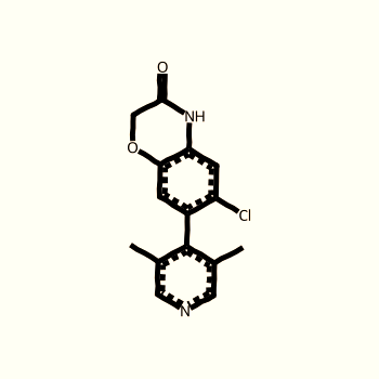 Cc1cncc(C)c1-c1cc2c(cc1Cl)NC(=O)CO2